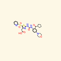 O=C(O)Cc1nc(NC(=O)Nc2ccc(N3CCOCC3)cc2C(=O)C2CCCC2)sc1S(=O)(=O)c1ccccn1